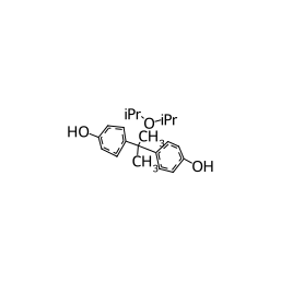 CC(C)(c1ccc(O)cc1)c1ccc(O)cc1.CC(C)OC(C)C